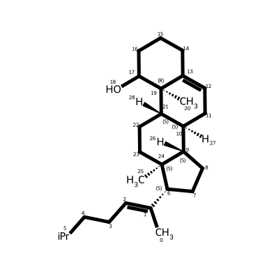 CC(=CCCC(C)C)[C@H]1CC[C@H]2[C@@H]3CC=C4CCCC(O)[C@]4(C)[C@H]3CC[C@]12C